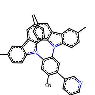 Cc1ccc2c(c1)c1cc(C)ccc1n2-c1cc(C#N)c(-c2cccnc2)cc1-n1c2ccc(C)cc2c2cc(C)ccc21